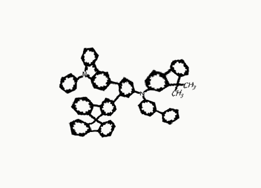 CC1(C)c2ccccc2-c2ccc(N(c3cccc(-c4ccccc4)c3)c3ccc(-c4ccc5c(c4)c4ccccc4n5-c4ccccc4)c(-c4ccc5c(c4)-c4ccccc4C54c5ccccc5-c5ccccc54)c3)cc21